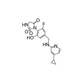 O=C1CNS(=O)(=O)N1c1c(O)cc(CNc2cc(C3CC3)ccn2)cc1F